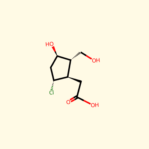 O=C(O)C[C@@H]1[C@@H](CO)[C@H](O)C[C@H]1Cl